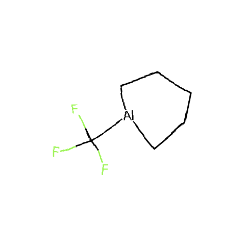 F[C](F)(F)[Al]1[CH2]CCC[CH2]1